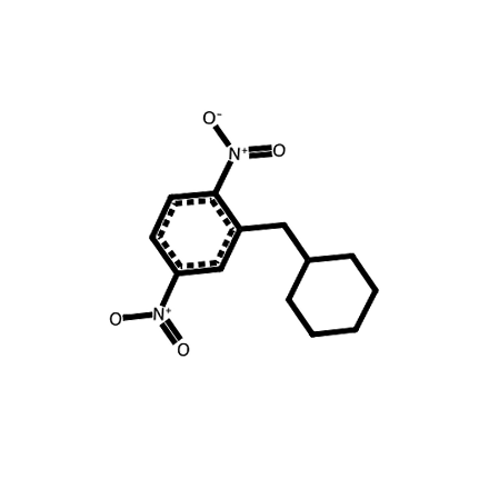 O=[N+]([O-])c1ccc([N+](=O)[O-])c(CC2CCCCC2)c1